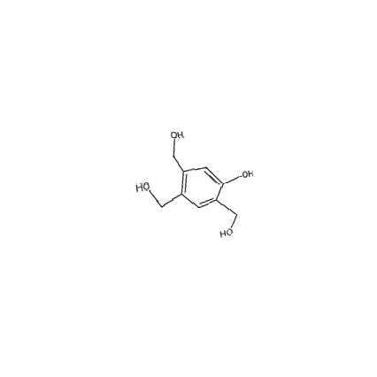 OCc1cc(CO)c(CO)cc1O